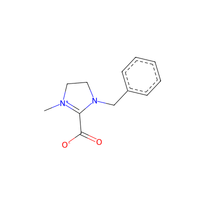 C[N+]1=C(C(=O)[O-])N(Cc2ccccc2)CC1